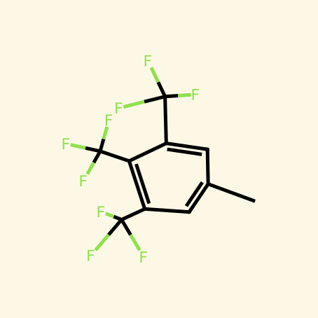 Cc1cc(C(F)(F)F)c(C(F)(F)F)c(C(F)(F)F)c1